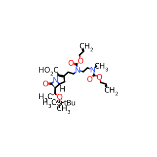 C=CCOC(=O)N(C)CCN(CCC1=C(C(=O)O)N2C(=O)[C@H]([C@@H](C)O[Si](C)(C)C(C)(C)C)[C@H]2C1)C(=O)OCC=C